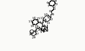 C(=C\c1ccccc1)/CN1CCN([C@H](c2ccccc2)c2nnnn2CC2CCCO2)CC1